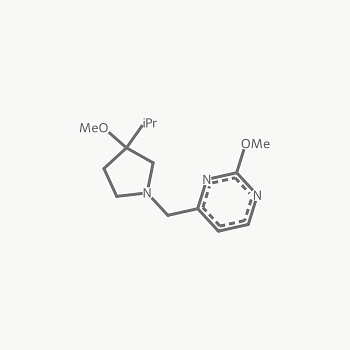 COc1nccc(CN2CCC(OC)(C(C)C)C2)n1